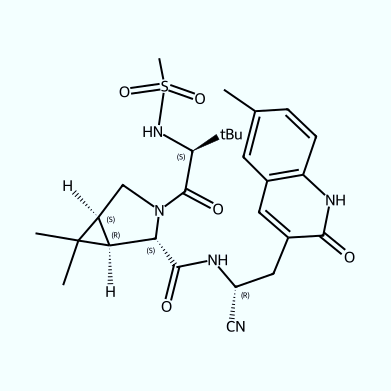 Cc1ccc2[nH]c(=O)c(C[C@H](C#N)NC(=O)[C@@H]3[C@@H]4[C@H](CN3C(=O)[C@@H](NS(C)(=O)=O)C(C)(C)C)C4(C)C)cc2c1